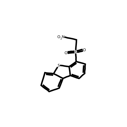 O=[N+]([O-])CS(=O)(=O)c1cccc2c1sc1ccccc12